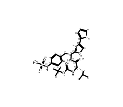 CC(C)C[C@H](NC(=O)OC(C)(C)C)C(=O)N[C@@H](Cc1ccc(NS(=O)(=O)O)cc1)c1nc(-c2cccs2)cs1